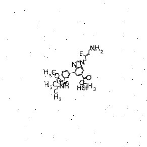 COC(=O)c1cc(-c2ccc(OC)c(S(=O)(=O)NC(C)C)c2)c2ncn(CC(F)=CCN)c2c1.Cl